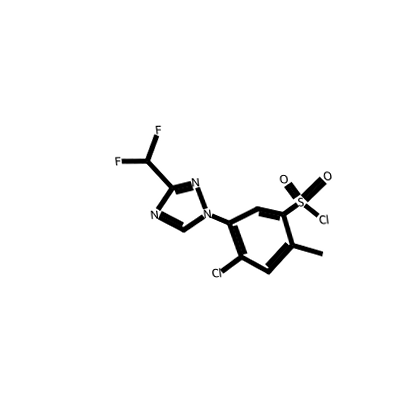 Cc1cc(Cl)c(-n2cnc(C(F)F)n2)cc1S(=O)(=O)Cl